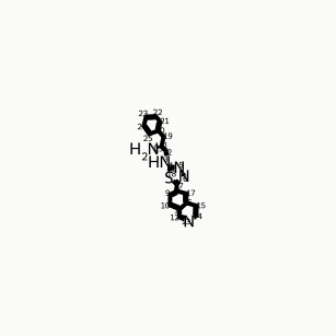 N[C@H](CNc1nnc(-c2ccc3cnccc3c2)s1)Cc1ccccc1